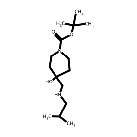 CC(C)CNCC1(O)CCN(C(=O)OC(C)(C)C)CC1